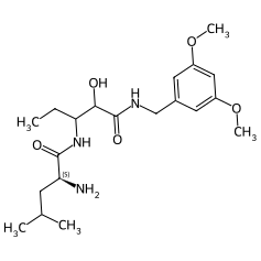 CCC(NC(=O)[C@@H](N)CC(C)C)C(O)C(=O)NCc1cc(OC)cc(OC)c1